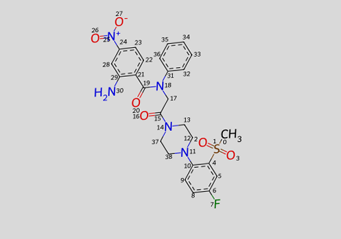 CS(=O)(=O)c1cc(F)ccc1N1CCN(C(=O)CN(C(=O)c2ccc([N+](=O)[O-])cc2N)c2ccccc2)CC1